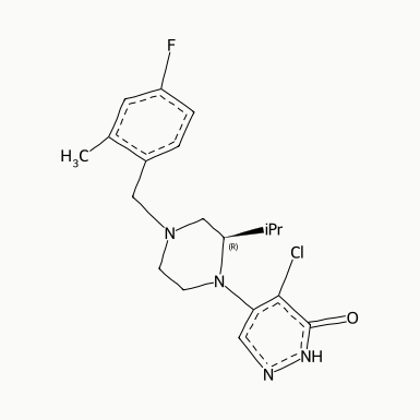 Cc1cc(F)ccc1CN1CCN(c2cn[nH]c(=O)c2Cl)[C@H](C(C)C)C1